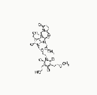 CCN1C(=O)N(COCCn2c(=O)n(CCO)c(=O)n(CCOC)c2=O)C2C1N(CN1C(=O)CCC1=O)C(=O)N2COC